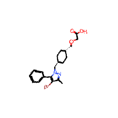 Cc1nn(C[C@H]2CC[C@H](COCC(=O)O)CC2)c(-c2ccccc2)c1Br